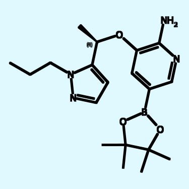 CCCn1nccc1[C@@H](C)Oc1cc(B2OC(C)(C)C(C)(C)O2)cnc1N